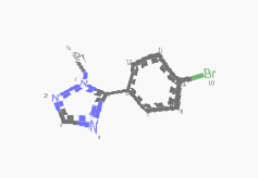 CC(C)n1ncnc1-c1ccc(Br)cc1